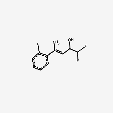 C/C(=C\C(O)C(F)F)c1ccccc1F